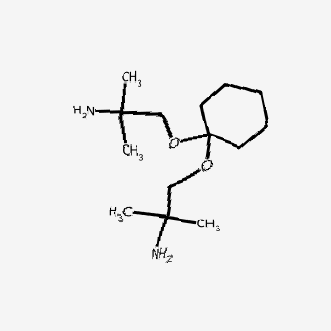 CC(C)(N)COC1(OCC(C)(C)N)CCCCC1